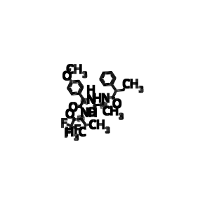 CCC(C(=O)N[C@@H](C)C(=O)N[C@H](C(=O)N[C@H](C(=O)C(F)(F)F)C(C)C)c1ccc(OC)cc1)c1ccccc1